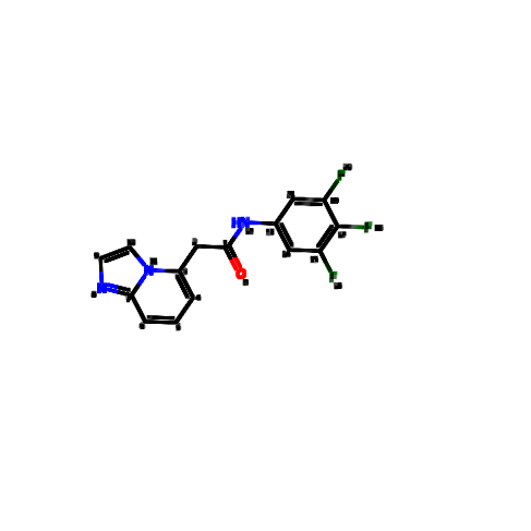 O=C(Cc1cccc2nccn12)Nc1cc(F)c(F)c(F)c1